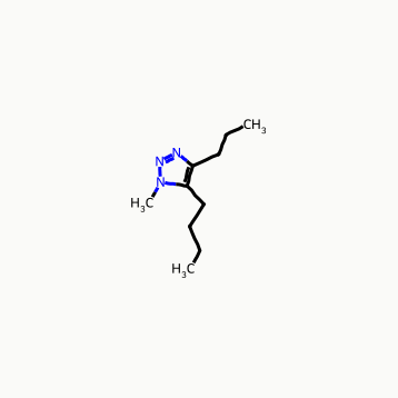 CCCCc1c(CCC)nnn1C